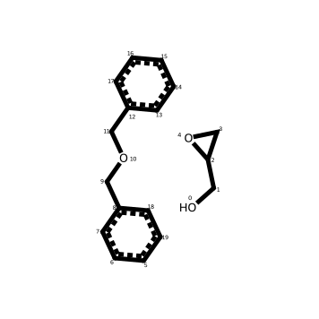 OCC1CO1.c1ccc(COCc2ccccc2)cc1